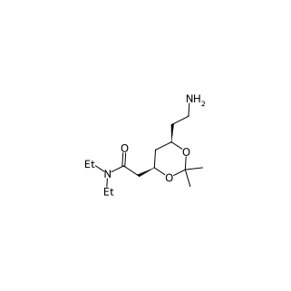 CCN(CC)C(=O)C[C@H]1C[C@@H](CCN)OC(C)(C)O1